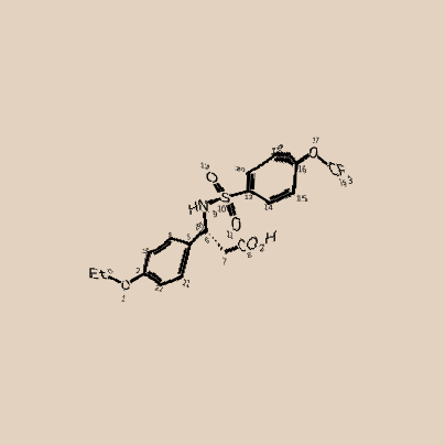 CCOc1ccc([C@@H](CC(=O)O)NS(=O)(=O)c2ccc(OC(F)(F)F)cc2)cc1